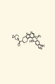 CC(C)Oc1cc2[nH]ncc2cc1Nc1ncnc2sc3c(c12)CCC(C(=O)N1CCC2(CC2)C1)C3